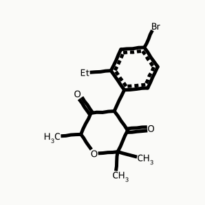 CCc1cc(Br)ccc1C1C(=O)C(C)OC(C)(C)C1=O